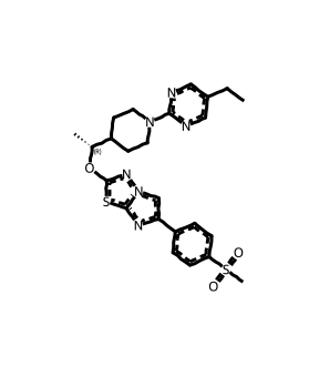 CCc1cnc(N2CCC([C@@H](C)Oc3nn4cc(-c5ccc(S(C)(=O)=O)cc5)nc4s3)CC2)nc1